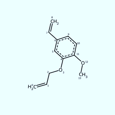 C=CCOc1cc(C=C)ccc1OC